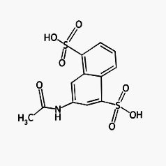 CC(=O)Nc1cc(S(=O)(=O)O)c2cccc(S(=O)(=O)O)c2c1